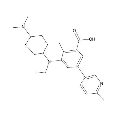 CCN(c1cc(-c2ccc(C)nc2)cc(C(=O)O)c1C)C1CCC(N(C)C)CC1